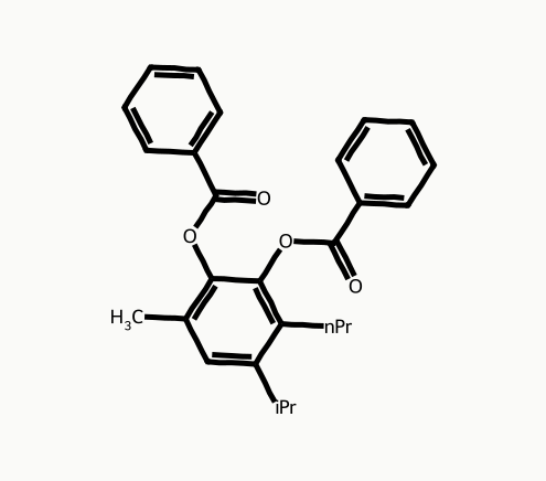 CCCc1c(C(C)C)cc(C)c(OC(=O)c2ccccc2)c1OC(=O)c1ccccc1